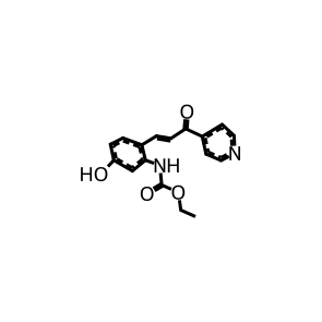 CCOC(=O)Nc1cc(O)ccc1/C=C/C(=O)c1ccncc1